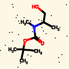 [CH2]C(CO)N(C)C(=O)OC(C)(C)C